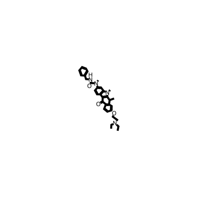 CCN(CC)CCOc1ccc2c(c1)C(C)c1c(c3ccc(N(C)C(=O)NCc4ccccc4)cc3n1C)C2=O